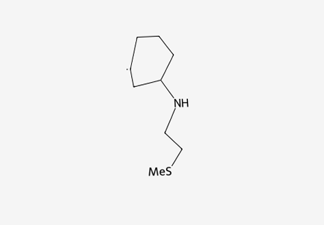 CSCCNC1C[CH]CCC1